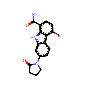 NC(=O)c1ccc(Br)c2c1[nH]c1cc(N3CCCC3=O)ccc12